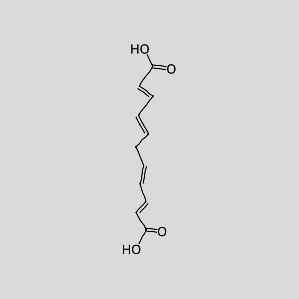 O=C(O)/C=C/C=C/C/C=C/C=C/C(=O)O